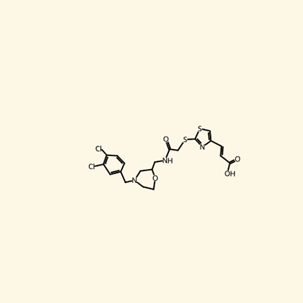 O=C(O)C=Cc1csc(SCC(=O)NCC2CN(Cc3ccc(Cl)c(Cl)c3)CCO2)n1